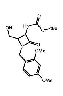 COc1ccc(CN2C(=O)C(NC(=O)OC(C)(C)C)C2CO)c(OC)c1